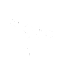 Cc1cccc(NC(=O)c2c(C)cc(-c3cnn(C)c3)nc2N2CCCC(F)(F)CC2)c1